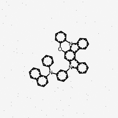 c1ccc(N(c2cccc(-n3c4ccccc4c4c5c6ccccc6n6c5c(cc43)Oc3ccccc3-6)c2)c2cccc3ccccc23)cc1